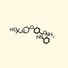 CC(C)(O)CN1CCC(Oc2ccc(C(=O)Nc3ccccc3N)cc2)CC1